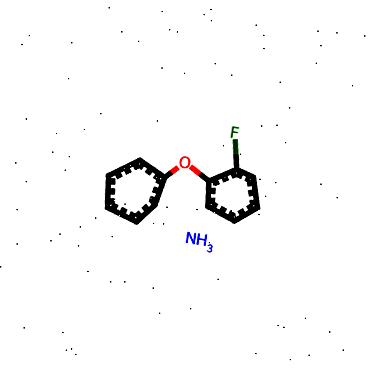 Fc1ccccc1Oc1ccccc1.N